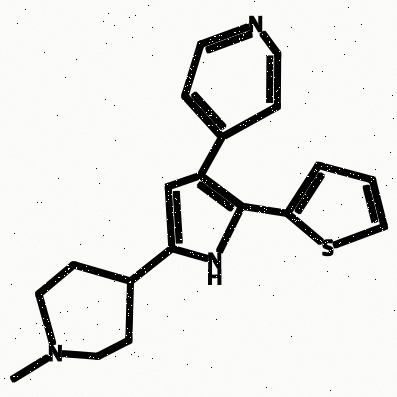 CN1CCC(c2cc(-c3ccncc3)c(-c3cccs3)[nH]2)CC1